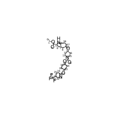 CCOC(=O)c1cc2cc(OC3CCN(C(=O)Oc4ccc(Oc5ccc(C(F)(F)F)cn5)cc4)CC3)ccc2[nH]1